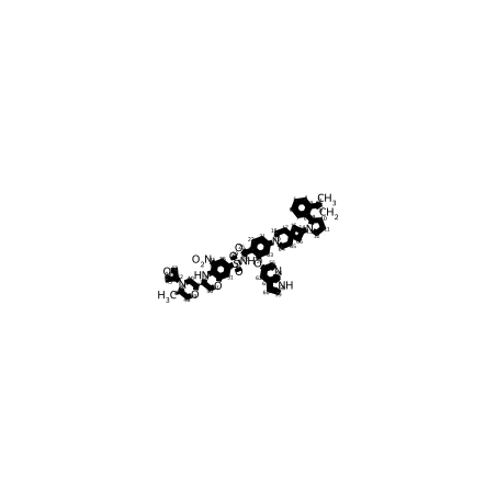 C=C(C)c1ccccc1C1CCCN1C1CC2(CCN(c3ccc(C(=O)NS(=O)(=O)c4cc5c(c([N+](=O)[O-])c4)NC([C@H]4CN(C6COC6)[C@H](C)CO4)CO5)c(Oc4cnc5[nH]ccc5c4)c3)CC2)C1